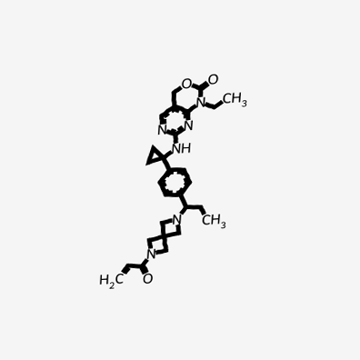 C=CC(=O)N1CC2(C1)CN(C(CC)c1ccc(C3(Nc4ncc5c(n4)N(CC)C(=O)OC5)CC3)cc1)C2